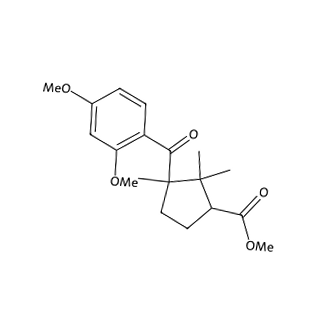 COC(=O)C1CCC(C)(C(=O)c2ccc(OC)cc2OC)C1(C)C